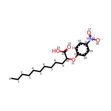 CCCCCCCCCCC(Oc1ccc([N+](=O)[O-])cc1)C(=O)O